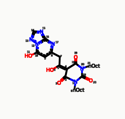 CCCCCCCCN1C(=O)C(=C(O)Cc2cc(O)n3ncnc3n2)C(=O)N(CCCCCCCC)C1=O